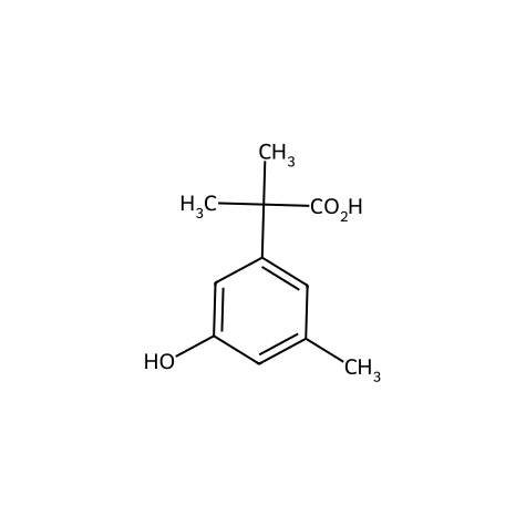 Cc1cc(O)cc(C(C)(C)C(=O)O)c1